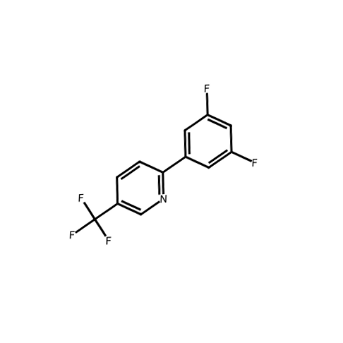 Fc1cc(F)cc(-c2ccc(C(F)(F)F)cn2)c1